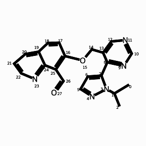 CC(C)n1nccc1-c1ncncc1COc1ccc2cccnc2c1C=O